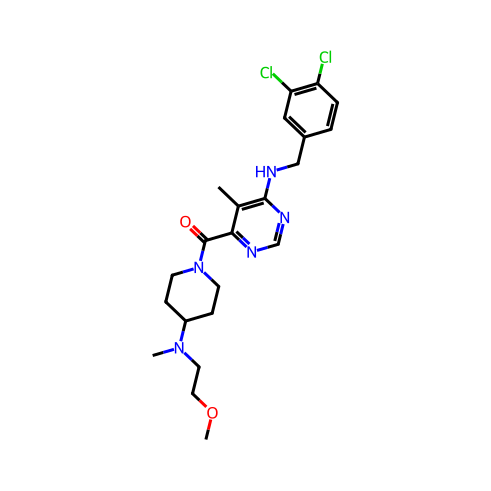 COCCN(C)C1CCN(C(=O)c2ncnc(NCc3ccc(Cl)c(Cl)c3)c2C)CC1